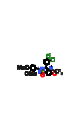 COc1ccc(CN=S(=O)(NC(CN(C)C)c2ccc(Cl)c(Cl)c2)c2ccc(OC(F)(F)F)cc2)c(OC)c1